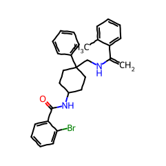 C=C(NCC1(c2ccccc2)CCC(NC(=O)c2ccccc2Br)CC1)c1ccccc1C